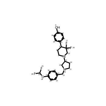 Oc1ccc(C2CCN(C3CCN(Cc4ccc(OC(F)F)cc4)C3)CC2(F)F)cc1